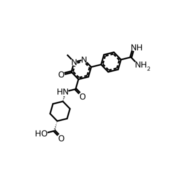 Cn1nc(-c2ccc(C(=N)N)cc2)cc(C(=O)N[C@H]2CC[C@@H](C(=O)O)CC2)c1=O